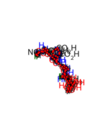 C[C@@H]1O[C@@H](O[C@H]2C[C@](O)(C(=O)CO)Cc3c(O)c4c(c(O)c32)C(=O)c2ccccc2C4=O)C[C@H](NC(=O)C2CC(F)(F)CN2C(=O)CNC(=O)c2ccnc3ccc(OCCCCNC(=O)C(CCC(=O)NCCCCOc4ccc5nccc(C(=O)NCC(=O)N6CC(F)(F)C[C@@H]6C#N)c5c4)NC(=O)CN4CCCCC(CC(=O)O)CCCN(CC(=O)O)CCN(CC(=O)O)CC4)cc23)[C@@H]1O